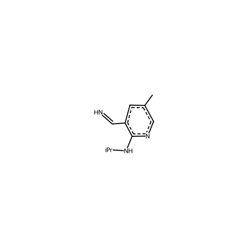 Cc1cnc(NC(C)C)c(C=N)c1